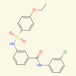 CCOc1ccc(S(=O)(=O)Nc2cccc(C(=O)Nc3cccc(Cl)c3)c2)cc1